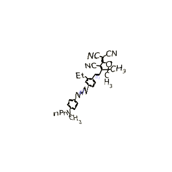 CCCN(C)c1ccc(/N=N/c2ccc(/C=C/C3=C(C#N)C(=C(C#N)C#N)OC3(C)C)c(CC)c2)cc1